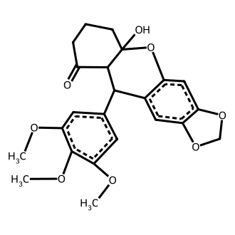 COc1cc(C2c3cc4c(cc3OC3(O)CCCC(=O)C23)OCO4)cc(OC)c1OC